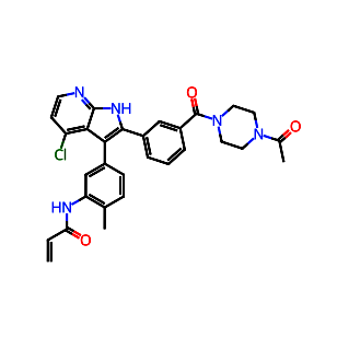 C=CC(=O)Nc1cc(-c2c(-c3cccc(C(=O)N4CCN(C(C)=O)CC4)c3)[nH]c3nccc(Cl)c23)ccc1C